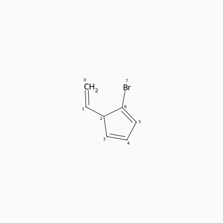 C=CC1C=CC=C1Br